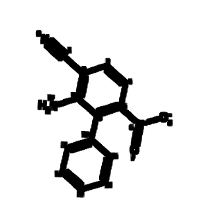 N#Cc1ccc([N+](=O)[O-])c(-c2ccccc2)c1N